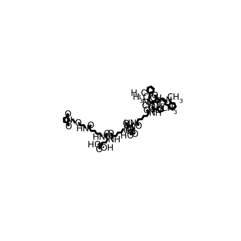 C/N=C(\C=C1/C(=O)C(/C=C2/N(C)c3ccccc3C2(C)C)=C1N1CCCC1C(=O)NC(=O)CCCCC(=O)NC(CS(=O)(=O)O)C(=O)NCCCCC(=O)NC(CCP(=O)(O)O)C(=O)NCCCCC(=O)NCCOCCN1C(=O)C=CC1=O)C(C)(C)c1ccccc1C